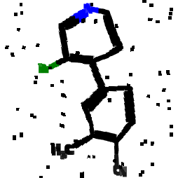 Cc1cc(-c2ccncc2Br)ccc1C#N